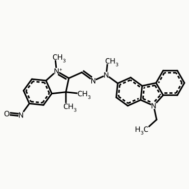 CCn1c2ccccc2c2cc(N(C)N=CC3=[N+](C)c4ccc(N=O)cc4C3(C)C)ccc21